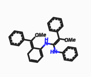 COC(=C(NC1=CC=CCC1=C(OC)c1ccccc1)Nc1ccccc1)c1ccccc1